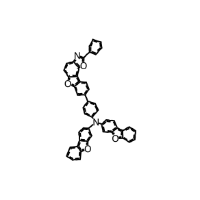 c1ccc(-c2nc3ccc4oc5cc(-c6ccc(N(c7ccc8c(c7)oc7ccccc78)c7ccc8c(c7)oc7ccccc78)cc6)ccc5c4c3o2)cc1